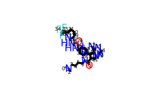 CN(C)CCCCNC(=O)C1CN2N=CN=C(N)C2=C1c1ccc(NC(=O)Nc2cccc(C(F)(F)F)n2)cc1